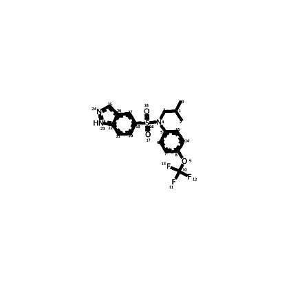 CC(C)CN(c1ccc(OC(F)(F)F)cc1)S(=O)(=O)c1ccc2[nH]ncc2c1